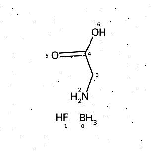 B.F.NCC(=O)O